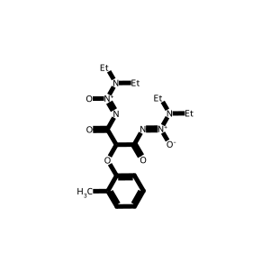 CCN(CC)[N+]([O-])=NC(=O)C(Oc1ccccc1C)C(=O)N=[N+]([O-])N(CC)CC